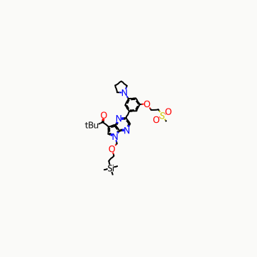 CC(C)(C)C(=O)c1cn(COCC[Si](C)(C)C)c2ncc(-c3cc(OCCS(C)(=O)=O)cc(N4CCCC4)c3)nc12